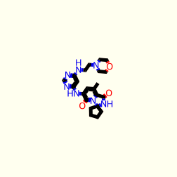 Cc1cc(Nc2cc(NCCN3CCOCC3)ncn2)c(=O)n2c1C(=O)NC21CCCC1